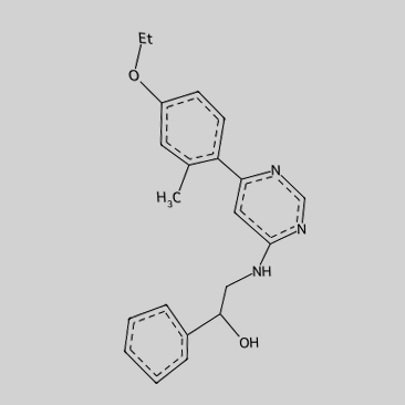 CCOc1ccc(-c2cc(NCC(O)c3ccccc3)ncn2)c(C)c1